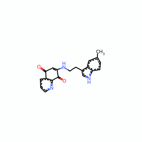 Cc1ccc2[nH]cc(CCNC3=CC(=O)c4cccnc4C3=O)c2c1